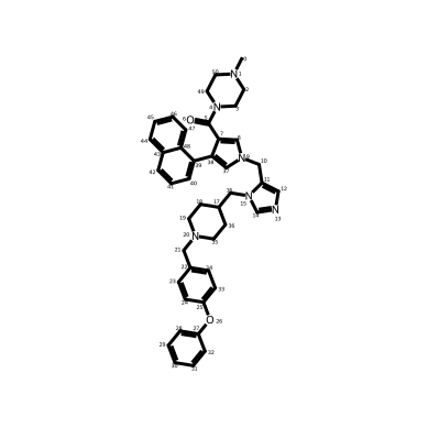 CN1CCN(C(=O)c2cn(Cc3cncn3CC3CCN(Cc4ccc(Oc5ccccc5)cc4)CC3)cc2-c2cccc3ccccc23)CC1